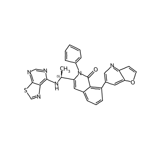 C[C@H](Nc1ncnc2scnc12)c1cc2cccc(-c3cnc4ccoc4c3)c2c(=O)n1-c1ccccc1